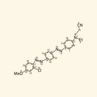 CCN(CCC#N)c1ccc(N=Nc2ccc(N=Nc3ccc(OC)cc3Cl)cc2)cc1